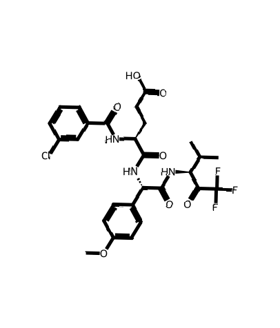 COc1ccc([C@H](NC(=O)[C@H](CCC(=O)O)NC(=O)c2cccc(Cl)c2)C(=O)N[C@H](C(=O)C(F)(F)F)C(C)C)cc1